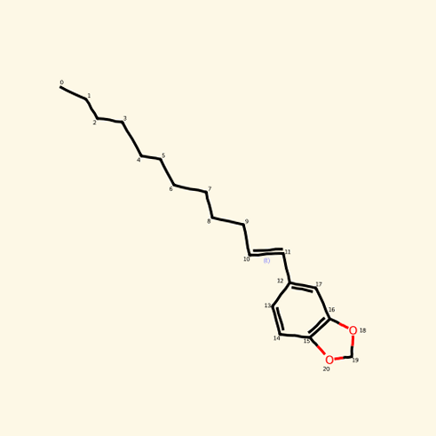 CCCCCCCCCC/C=C/c1ccc2c(c1)OCO2